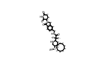 CC(C)OC1CNC(C(F)(F)C(=O)NCc2ccc3c(c2)CN(C2CCC(=O)NC2=O)C3=O)CC12CCCCCCCC2